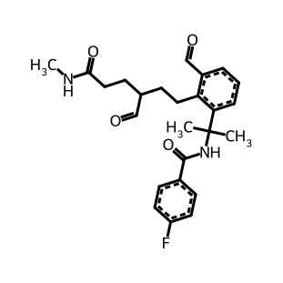 CNC(=O)CCC(C=O)CCc1c(C=O)cccc1C(C)(C)NC(=O)c1ccc(F)cc1